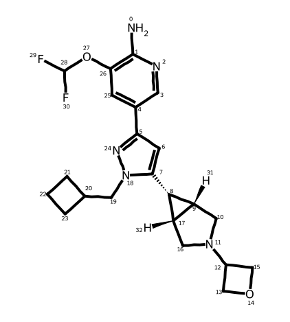 Nc1ncc(-c2cc([C@@H]3[C@@H]4CN(C5COC5)C[C@@H]43)n(CC3CCC3)n2)cc1OC(F)F